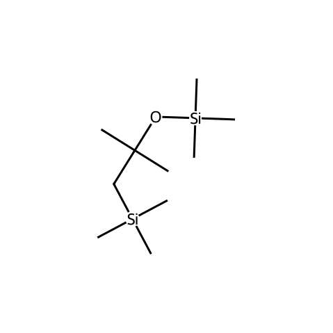 CC(C)(C[Si](C)(C)C)O[Si](C)(C)C